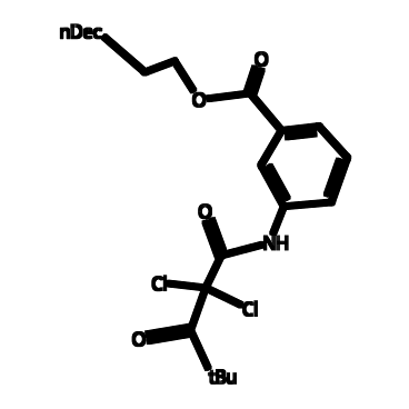 CCCCCCCCCCCCOC(=O)c1cccc(NC(=O)C(Cl)(Cl)C(=O)C(C)(C)C)c1